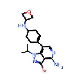 CC(C)n1nc(Br)c2c(N)ncc(C3=CCC(NC4COC4)CC3)c21